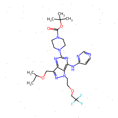 CC(C)OCc1nn(CCOCC(F)(F)F)c2c(Nc3ccncn3)nc(N3CCN(C(=O)OC(C)(C)C)CC3)nc12